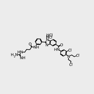 Cl.Cl.N=C(N)NCCCC(=O)Nc1cccc(-c2nc3cc(C(=O)Nc4ccc(N(CCCl)CCCl)c(Cl)c4)ccc3[nH]2)c1